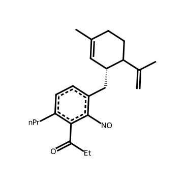 C=C(C)C1CCC(C)=C[C@H]1Cc1ccc(CCC)c(C(=O)CC)c1N=O